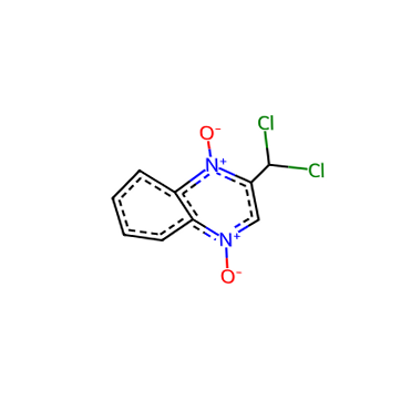 [O-][n+]1cc(C(Cl)Cl)[n+]([O-])c2ccccc21